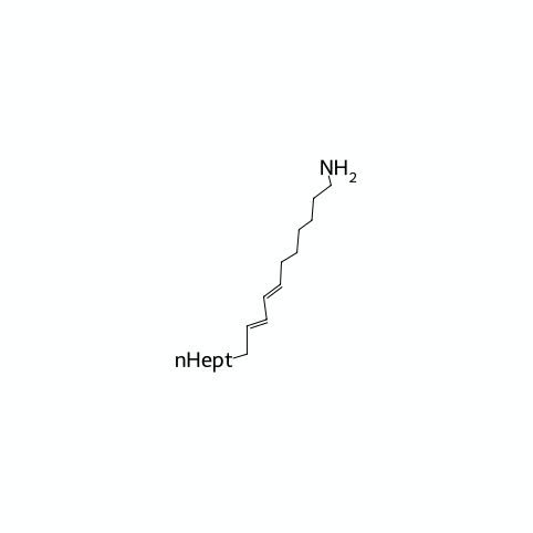 CCCCCCCC/C=C/C=C/CCCCCCN